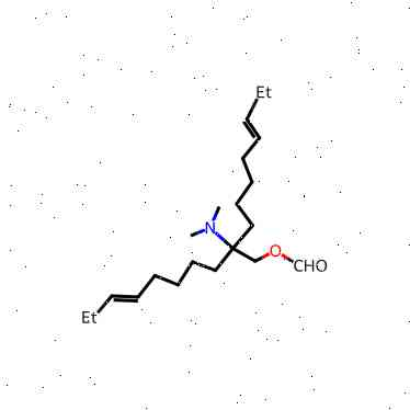 CCC=CCCCCC(CCCCC=CCC)(COC=O)N(C)C